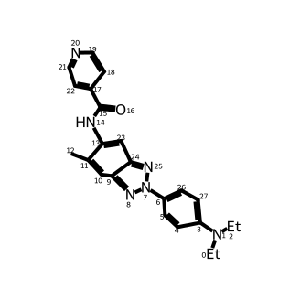 CCN(CC)c1ccc(-n2nc3cc(C)c(NC(=O)c4ccncc4)cc3n2)cc1